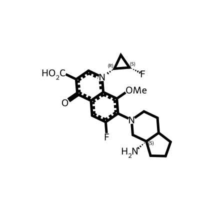 COc1c(N2CCC3CCC[C@@]3(N)C2)c(F)cc2c(=O)c(C(=O)O)cn([C@@H]3C[C@@H]3F)c12